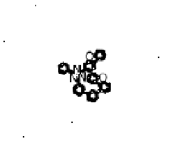 c1ccc(-c2nc(-c3cccc(-c4cccc(-c5cccc6oc7ccccc7c56)c4)c3)nc(-c3ccc4c(c3)oc3ccccc34)n2)cc1